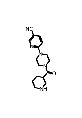 N#Cc1ccc(N2CCN(C(=O)C3CCCNC3)CC2)nc1